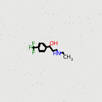 CCNCCC(O)c1ccc(C(F)(F)F)cc1